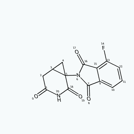 O=C1CC2CC2(N2C(=O)c3cccc(F)c3C2=O)C(=O)N1